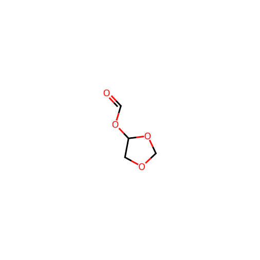 O=COC1COCO1